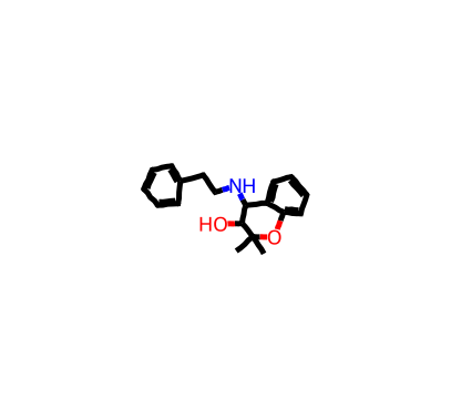 CC1(C)Oc2ccccc2C(NCCc2ccccc2)C1O